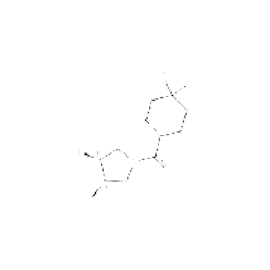 C[C@@H]1CN(C(=O)C2CCC(F)(F)CC2)C[C@@H]1F